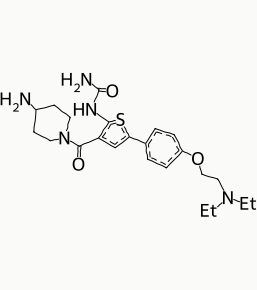 CCN(CC)CCOc1ccc(-c2cc(C(=O)N3CCC(N)CC3)c(NC(N)=O)s2)cc1